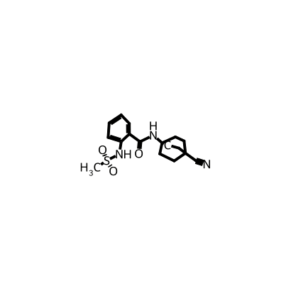 CS(=O)(=O)Nc1ccccc1C(=O)NC12CCC(C#N)(CC1)CC2